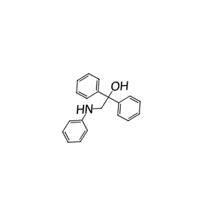 OC(CNc1ccccc1)(c1ccccc1)c1ccccc1